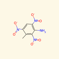 Cc1c([N+](=O)[O-])cc([N+](=O)[O-])c(N)c1[N+](=O)[O-]